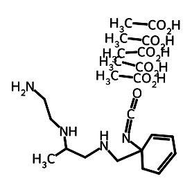 CC(=O)O.CC(=O)O.CC(=O)O.CC(=O)O.CC(=O)O.CC(CNCC1(N=C=O)C=CC=CC1)NCCN